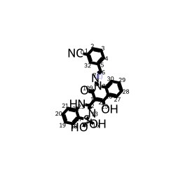 N#Cc1cccc(/C=N/n2c(=O)c(C3=NS(O)(O)c4ccccc4N3)c(O)c3ccccc32)c1